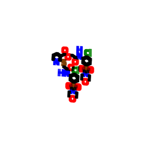 O=C(COC(=O)c1cccnc1SCC(=O)Nc1cc(S(=O)(=O)N2CCOCC2)ccc1Cl)Nc1cc(S(=O)(=O)N2CCOCC2)ccc1Cl